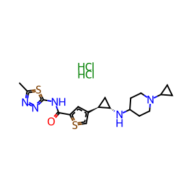 Cc1nnc(NC(=O)c2cc([C@H]3C[C@@H]3NC3CCN(C4CC4)CC3)cs2)s1.Cl.Cl